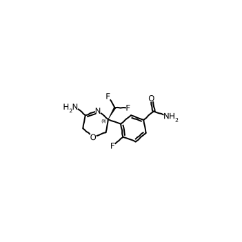 NC(=O)c1ccc(F)c([C@]2(C(F)F)COCC(N)=N2)c1